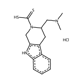 CN(C)CC1Cc2c([nH]c3ccccc23)CN1C(=S)S.Cl